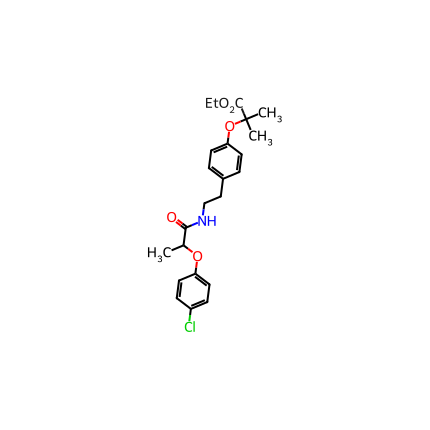 CCOC(=O)C(C)(C)Oc1ccc(CCNC(=O)C(C)Oc2ccc(Cl)cc2)cc1